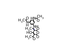 CC(=O)Nc1cc(NC(C)=O)cc(N/C(C)=C2\C(=O)OC(=O)C(C(C)=O)=C2O)c1